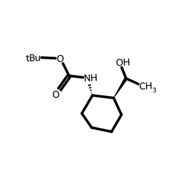 CC(O)[C@H]1CCCC[C@@H]1NC(=O)OC(C)(C)C